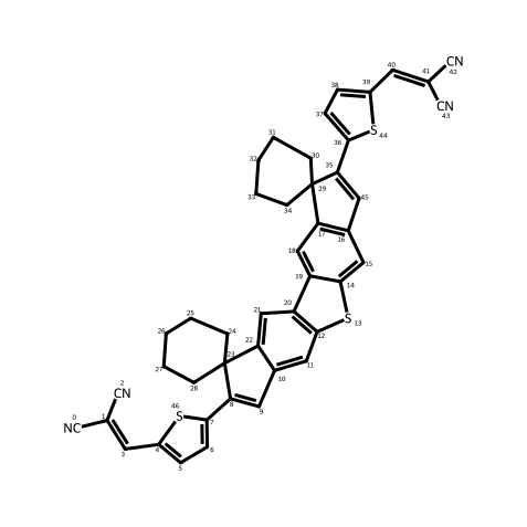 N#CC(C#N)=Cc1ccc(C2=Cc3cc4sc5cc6c(cc5c4cc3C23CCCCC3)C2(CCCCC2)C(c2ccc(C=C(C#N)C#N)s2)=C6)s1